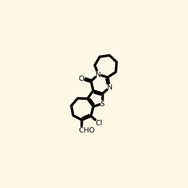 O=CC1=C(Cl)c2sc3nc4n(c(=O)c3c2CCC1)CCCCC4